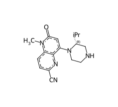 CC(C)[C@@H]1CNCCN1c1cc(=O)n(C)c2ccc(C#N)nc12